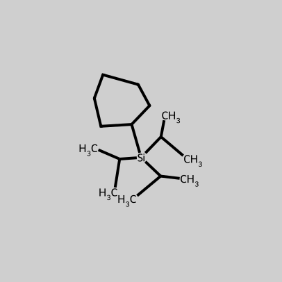 CC(C)[Si](C(C)C)(C(C)C)C1CCCCC1